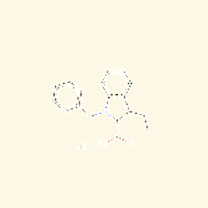 CCC1c2ccccc2N(Cc2ccccc2)C1C(=O)O.Cl